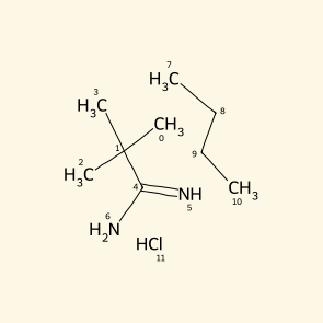 CC(C)(C)C(=N)N.CCCC.Cl